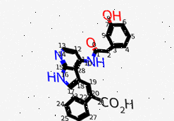 O=C(Cc1cccc(O)c1)Nc1ccnc2[nH]cc(/C=C(/C(=O)O)c3ccccc3)c12